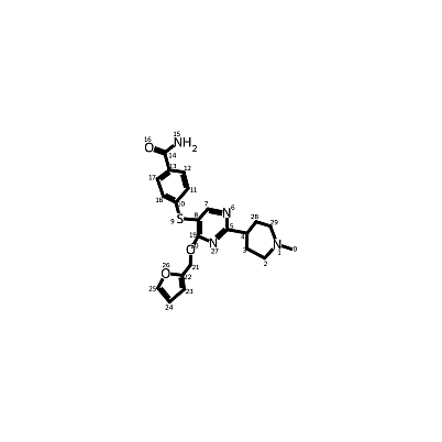 CN1CCC(c2ncc(Sc3ccc(C(N)=O)cc3)c(OCc3ccco3)n2)CC1